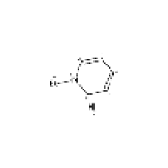 CCN1C=CC=CC1.I